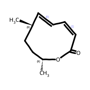 C[C@@H]1CC[C@@H](C)/C=C/C=C\C(=O)O1